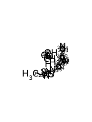 CCCc1cnc(NC(=O)NCc2ccc(-c3cnc4cc(-c5ccncc5)ccn34)cc2)s1.CS(=O)(=O)O